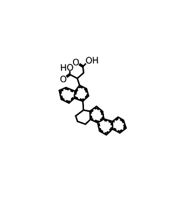 O=C(O)CC(C(=O)O)c1ccc(C2CCCc3c2ccc2c3ccc3ccccc32)c2ccccc12